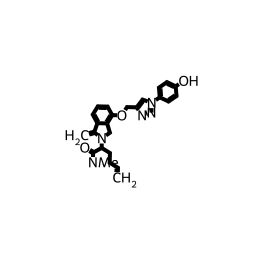 C=CCCC(C(=O)NC)N1Cc2c(OCc3cn(-c4ccc(O)cc4)nn3)cccc2C1=C